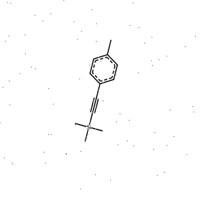 Cc1ccc(C#C[Si](C)(C)C)cc1